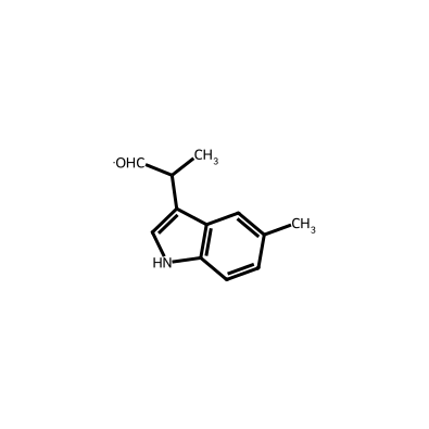 Cc1ccc2[nH]cc(C(C)[C]=O)c2c1